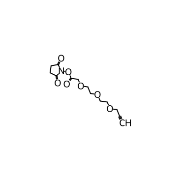 C#CCOCCOCCOCC(=O)ON1C(=O)CCC1=O